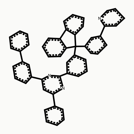 c1ccc(-c2cccc(-c3cc(-c4ccccc4)nc(-c4cccc(C5(c6cccc(-c7ccccn7)c6)c6ccccc6-c6ccccc65)c4)n3)c2)cc1